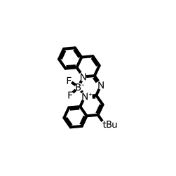 CC(C)(C)c1cc2[n+](c3ccccc13)[B-](F)(F)N1C(=N2)C=Cc2ccccc21